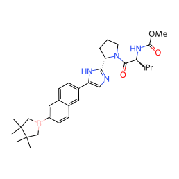 COC(=O)N[C@H](C(=O)N1CCC[C@H]1c1ncc(-c2ccc3cc(B4CC(C)(C)C(C)(C)C4)ccc3c2)[nH]1)C(C)C